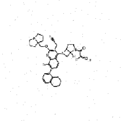 C=C(F)C(=O)N1CCC2[C@H]1CN2c1c(CC#N)c(OCC23CCCN2CCC3)nc2c(F)c(-c3cccc4c3CCCC4)ccc12